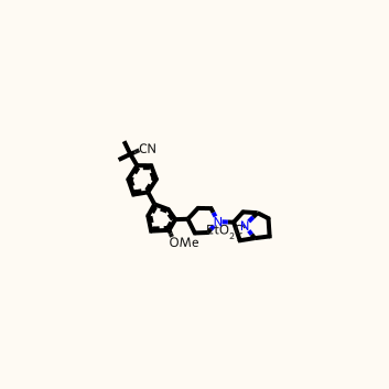 CCOC(=O)N1C2CCC1CC(N1CCC(c3cc(-c4ccc(C(C)(C)C#N)cc4)ccc3OC)CC1)C2